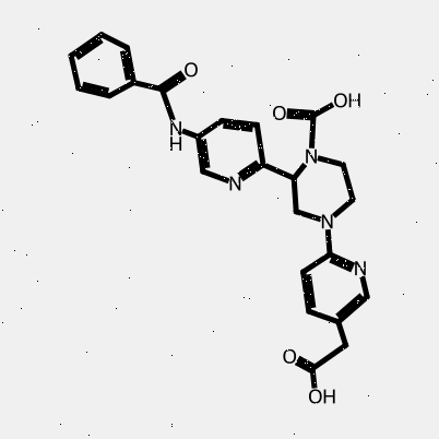 O=C(O)Cc1ccc(N2CCN(C(=O)O)C(c3ccc(NC(=O)c4ccccc4)cn3)C2)nc1